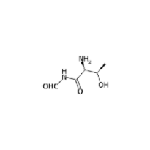 C[C@@H](O)[C@H](N)C(=O)N[C]=O